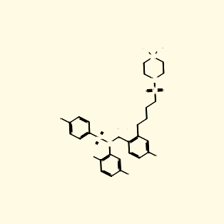 C[C@H](c1ccc(F)cc1CCCCS(=O)(=O)N1CCS(O)(O)CC1)N(c1cc(F)ccc1F)S(=O)(=O)c1ccc(Cl)cc1